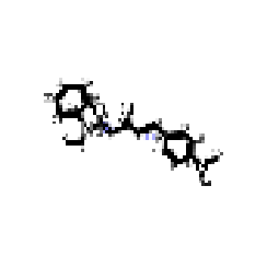 CCN1/C(=C/C(=O)/C=C/c2ccc(N(C)C)cc2)Oc2ccccc21